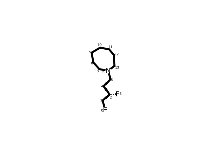 FC[C@@H](F)CCN1CCCCCCC1